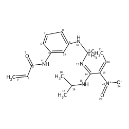 C=CC(=O)Nc1cccc(NC(C)/N=C(NC(C)C)\C(=C/C)[N+](=O)[O-])c1